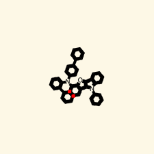 c1ccc(-c2ccc(N(c3ccccc3-c3ccccc3)c3cccc4c3oc3c5ccccc5n(-c5ccccc5)c43)cc2)cc1